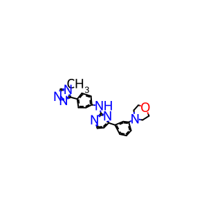 Cn1cnnc1-c1ccc(Nc2nccc(-c3cccc(N4CCOCC4)c3)n2)cc1